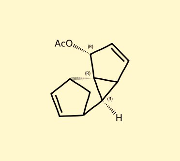 CC(=O)O[C@@H]1C=CC2[C@H]3C4C=CC(C4)[C@]231